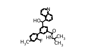 Cc1ccc(-c2cc(C(=O)NC(C)C)cc(C(O)c3cccc4ncccc34)c2)c(F)c1